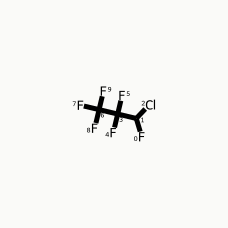 FC(Cl)C(F)(F)C(F)(F)F